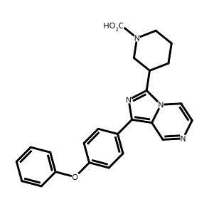 O=C(O)N1CCCC(c2nc(-c3ccc(Oc4ccccc4)cc3)c3cnccn23)C1